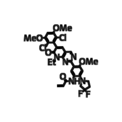 C=CC(=O)Nc1cc(-c2ncc3cc(-c4c(Cl)c(OC)cc(OC)c4Cl)c(=O)n(CC)c3n2)c(OC)cc1N1CCC(F)(F)C1